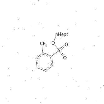 CCCCCCCOS(=O)(=O)c1ccccc1C(F)(F)F